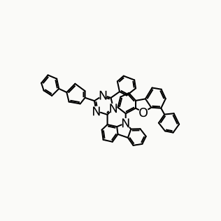 c1ccc(-c2ccc(-c3nc(-c4ccccc4)nc(-c4cccc5c6ccccc6n(-c6cccc7c6oc6c(-c8ccccc8)cccc67)c45)n3)cc2)cc1